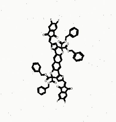 O=C1C(=Cc2cc3c(s2)C2=CC4C=C5OC(C(=O)OCc6ccccc6)(C(=O)OCc6ccccc6)c6cc(C=C7C(=O)c8cc(F)c(F)cc8C7=O)sc6C5=CC4C=C2OC3(C(=O)OCc2ccccc2)C(=O)OCc2ccccc2)C(=O)c2cc(F)c(F)cc21